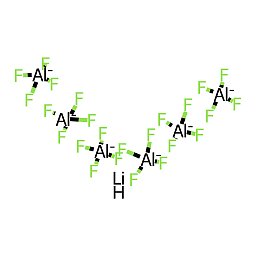 [F][Al-]([F])([F])[F].[F][Al-]([F])([F])[F].[F][Al-]([F])([F])[F].[F][Al-]([F])([F])[F].[F][Al-]([F])([F])[F].[F][Al-]([F])([F])[F].[LiH]